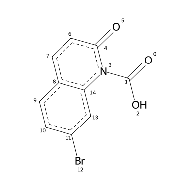 O=C(O)n1c(=O)ccc2ccc(Br)cc21